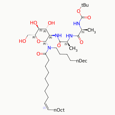 CCCCCCCC/C=C\CCCCCCCC(=O)N(CCCCCCCCCCCCCC)[C@@H]1O[C@H](CO)[C@@H](O)[C@H](O)[C@H]1NC(=O)[C@H](C)NC(=O)[C@H](C)NC(=O)OC(C)(C)C